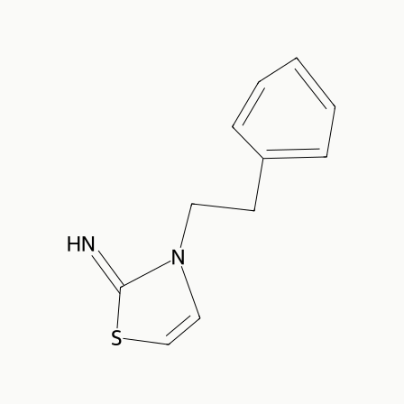 N=c1sccn1CCc1ccccc1